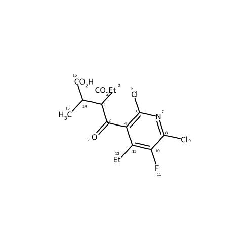 CCOC(=O)C(C(=O)c1c(Cl)nc(Cl)c(F)c1CC)C(C)C(=O)O